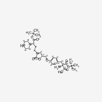 CC(C)(C)OC(=O)C(CCN1CC(COc2ccc(CC(N)(C(=O)O)C(=O)OC(C)(C)C)cc2)OC1=O)N1CCNCC1